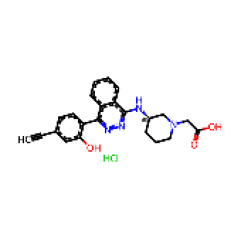 C#Cc1ccc(-c2nnc(N[C@@H]3CCCN(CC(=O)O)C3)c3ccccc23)c(O)c1.Cl